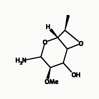 CO[C@H]1C(N)O[C@H]2C(O[C@@H]2C)C1O